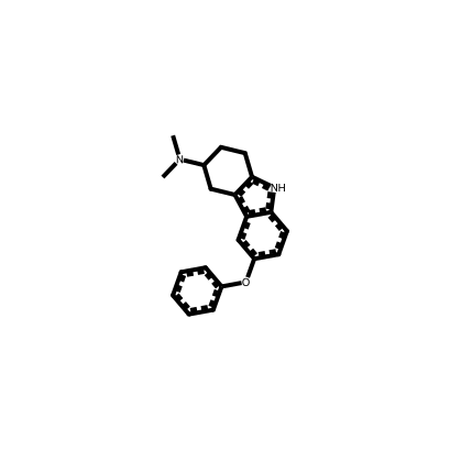 CN(C)C1CCc2[nH]c3ccc(Oc4ccccc4)cc3c2C1